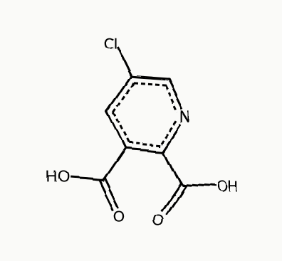 O=C(O)c1cc(Cl)cnc1C(=O)O